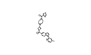 Cc1ccnc(-n2ccc3cc(C(=O)N4CC(N5CCN(C(=O)c6cscn6)CC5)C4)ccc32)c1